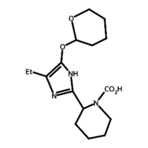 CCc1nc(C2CCCCN2C(=O)O)[nH]c1OC1CCCCO1